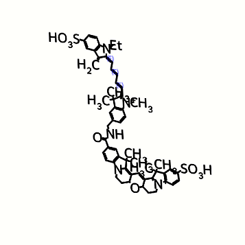 C=c1\c(=C/C=C/C=C/C2=[N+](C)c3ccc(CNC(=O)c4ccc5c(c4)C(C)(C)C4=C6C=C7C8=[N+](CCC7OC6CCN45)c4ccc(S(=O)(=O)O)cc4C8(C)C)cc3C2(C)C)n(CC)c2ccc(S(=O)(=O)O)cc12